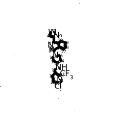 Cn1nccc1-c1nnc(N2CCC(NCc3ccc(Cl)nc3C(F)(F)F)CC2)c2ccccc12